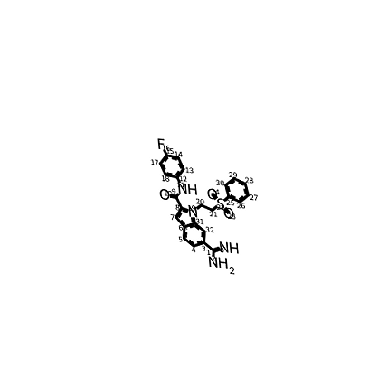 N=C(N)c1ccc2cc(C(=O)Nc3ccc(F)cc3)n(CCS(=O)(=O)c3ccccc3)c2c1